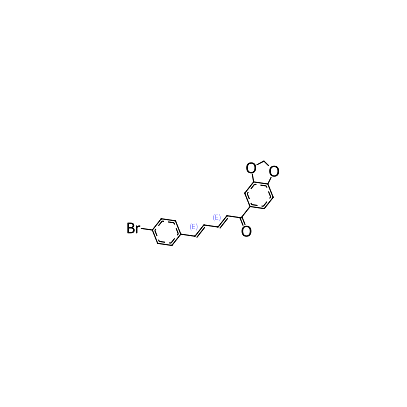 O=C(/C=C/C=C/c1ccc(Br)cc1)c1ccc2c(c1)OCO2